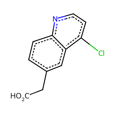 O=C(O)Cc1ccc2nccc(Cl)c2c1